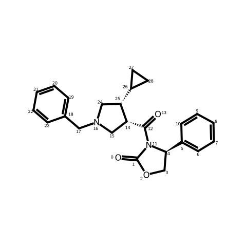 O=C1OC[C@H](c2ccccc2)N1C(=O)[C@@H]1CN(Cc2ccccc2)C[C@@H]1C1CC1